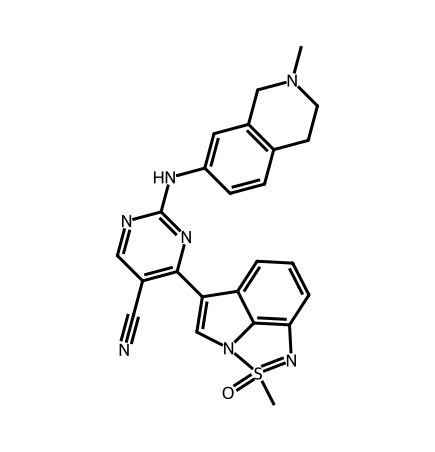 CN1CCc2ccc(Nc3ncc(C#N)c(-c4cn5c6c(cccc46)N=S5(C)=O)n3)cc2C1